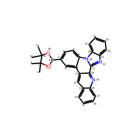 CC1(C)OB(c2ccc3c(c2)c2cc4ccccc4nc2c2nc4ccccc4n32)OC1(C)C